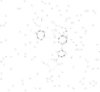 N[C@@H]1CN(Cc2ccc(Cl)cc2)c2cc(-c3noc(N4CCOCC4)n3)c(F)cc2S(=O)(=O)C1